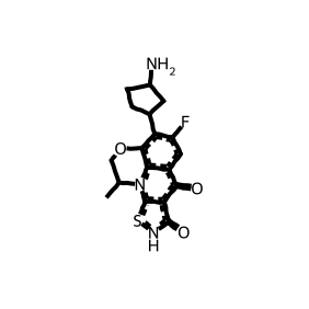 CC1COc2c(C3CCC(N)C3)c(F)cc3c(=O)c4c(=O)[nH]sc4n1c23